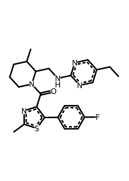 CCc1cnc(NCC2C(C)CCCN2C(=O)c2nc(C)sc2-c2ccc(F)cc2)nc1